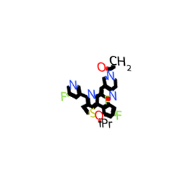 C=CC(=O)N1CCc2ncc(-c3nc(-c4cncc(F)c4)c4ccsc4c3-c3c(F)cc(F)cc3OC(C)C)cc2C1